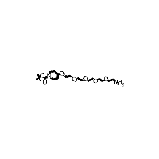 CC(C)(C)OC(=O)N1CCC(OCCOCCOCCOCCOCCN)CC1